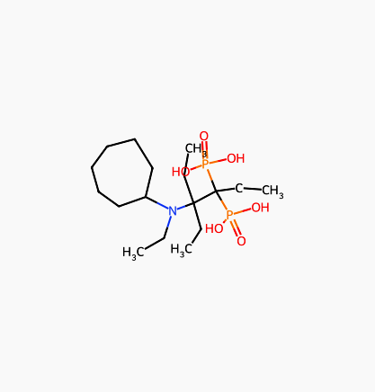 CCN(C1CCCCCC1)C(CC)(CC)C(CC)(P(=O)(O)O)P(=O)(O)O